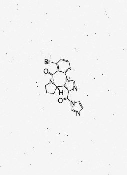 O=C1c2c(Br)cccc2-n2cnc(C(=O)n3ccnc3)c2[C@@H]2CCCN12